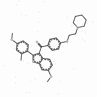 COc1ccc(-c2sc3cc(OC)ccc3c2C(=O)c2ccc(OCCN3CCCCC3)cc2)c(C)c1